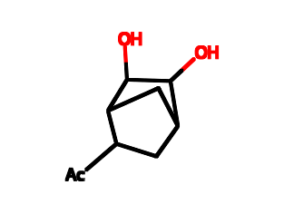 CC(=O)C1CC2CC1C(O)C2O